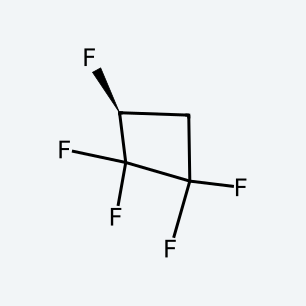 F[C@H]1CC(F)(F)C1(F)F